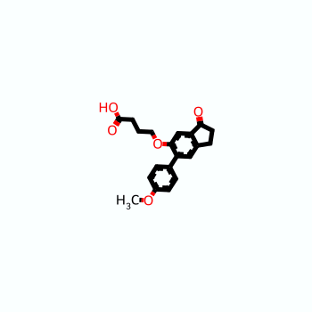 COc1ccc(-c2cc3c(cc2OCCCC(=O)O)C(=O)CC3)cc1